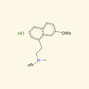 CCCN(C)CCc1cccc2ccc(OC)cc12.Cl